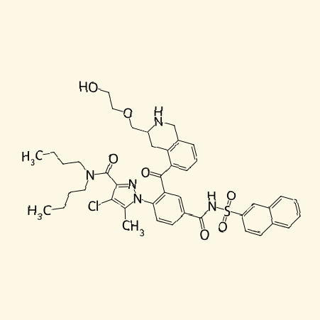 CCCCN(CCCC)C(=O)c1nn(-c2ccc(C(=O)NS(=O)(=O)c3ccc4ccccc4c3)cc2C(=O)c2cccc3c2CC(COCCO)NC3)c(C)c1Cl